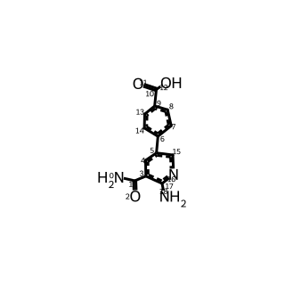 NC(=O)c1cc(-c2ccc(C(=O)O)cc2)cnc1N